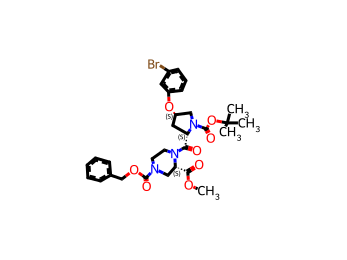 COC(=O)[C@@H]1CN(C(=O)OCc2ccccc2)CCN1C(=O)[C@@H]1C[C@H](Oc2cccc(Br)c2)CN1C(=O)OC(C)(C)C